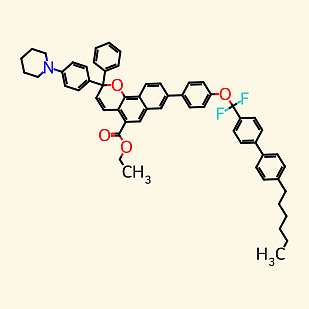 CCCCCCc1ccc(-c2ccc(C(F)(F)Oc3ccc(-c4ccc5c6c(c(C(=O)OCC)cc5c4)C=CC(c4ccccc4)(c4ccc(N5CCCCC5)cc4)O6)cc3)cc2)cc1